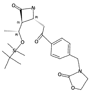 C[C@@H](O[Si](C)(C)C(C)(C)C)[C@H]1C(=O)[N][C@@H]1CC(=O)c1ccc(CN2CCOC2=O)cc1